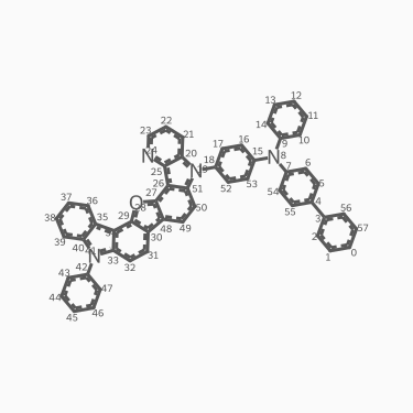 c1ccc(-c2ccc(N(c3ccccc3)c3ccc(-n4c5cccnc5c5c6oc7c(ccc8c7c7ccccc7n8-c7ccccc7)c6ccc54)cc3)cc2)cc1